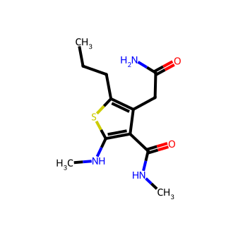 CCCc1sc(NC)c(C(=O)NC)c1CC(N)=O